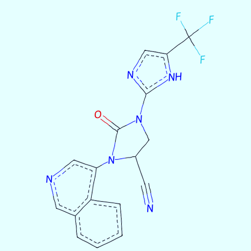 N#CC1CN(c2ncc(C(F)(F)F)[nH]2)C(=O)N1c1cncc2ccccc12